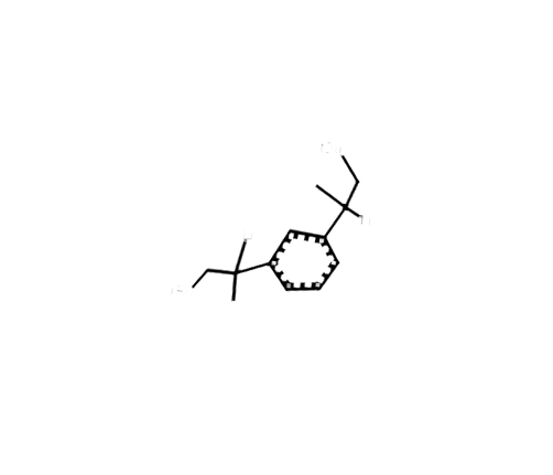 [Li][C](C)(CC(C)(C)C)c1cccc([C]([Li])(C)CC(C)(C)C)c1